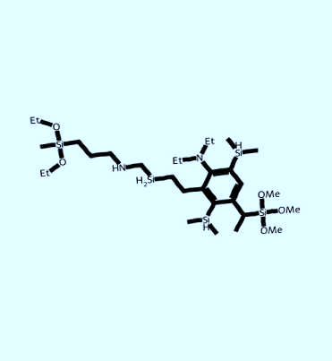 CCO[Si](C)(CCCNC[SiH2]CCc1c(N(CC)CC)c([SiH](C)C)cc(C(C)[Si](OC)(OC)OC)c1[SiH](C)C)OCC